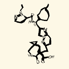 CCn1nccc1C(=O)N[C@H](c1cn2nc(CC3(C(=O)O)CC4(CC4)CNC3=O)ccc2n1)C1CCC(C)CC1